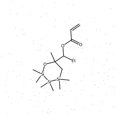 C=CC(=O)OC(CC)C1(C)C[Si](C)(C)[Si](C)(C)[Si](C)(C)O1